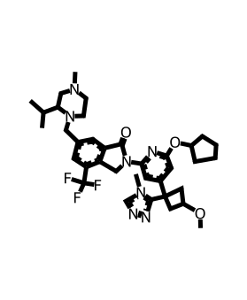 COC1CC(c2cc(OC3CCCC3)nc(N3Cc4c(cc(CN5CCN(C)CC5C(C)C)cc4C(F)(F)F)C3=O)c2)(c2nncn2C)C1